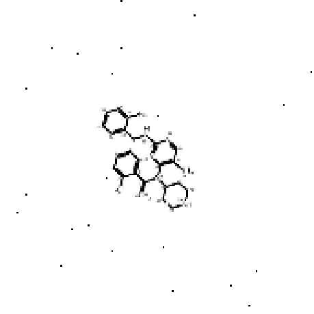 C=C(c1ccccc1Cl)N(c1nc(NCc2ccccc2F)ncc1N)C1CCNCC1